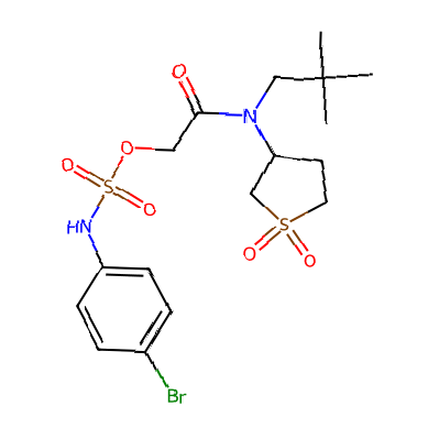 CC(C)(C)CN(C(=O)COS(=O)(=O)Nc1ccc(Br)cc1)C1CCS(=O)(=O)C1